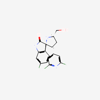 O=C1Nc2cc(Cl)ccc2[C@]12N[C@@H](CO)C[C@@H]2c1cc(Cl)nc(Cl)c1